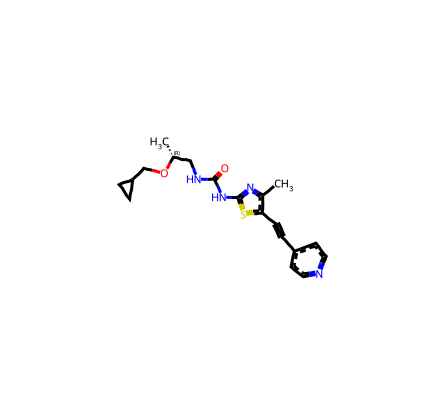 Cc1nc(NC(=O)NC[C@@H](C)OCC2CC2)sc1C#Cc1ccncc1